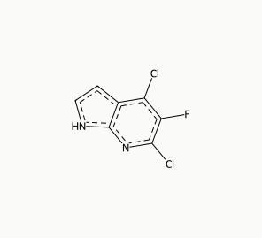 Fc1c(Cl)nc2[nH]ccc2c1Cl